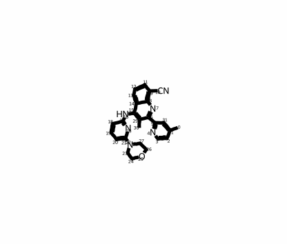 Cc1ccnc(-c2nc3c(C#N)cccc3c(Nc3cccc(N4CCOCC4)n3)c2C)c1